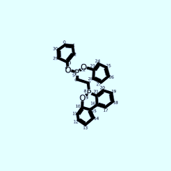 c1ccc(OP(CCP2Oc3ccccc3-c3ccccc32)Oc2ccccc2)cc1